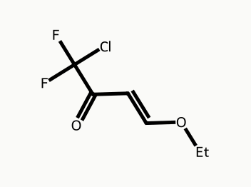 CCO/C=C/C(=O)C(F)(F)Cl